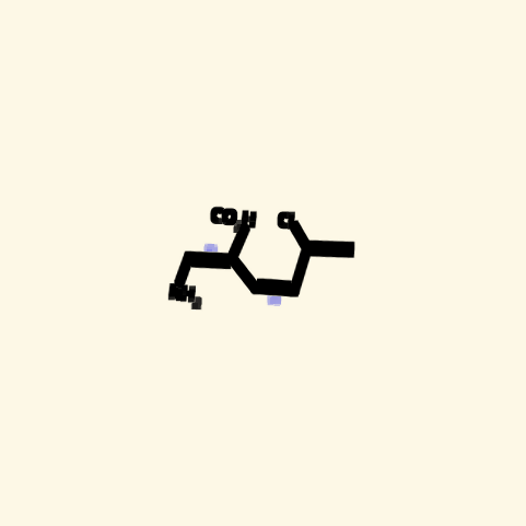 C=C(Cl)/C=C\C(=C/N)C(=O)O